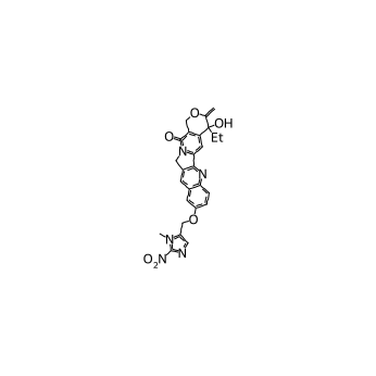 C=C1OCc2c(cc3n(c2=O)Cc2cc4cc(OCc5cnc([N+](=O)[O-])n5C)ccc4nc2-3)C1(O)CC